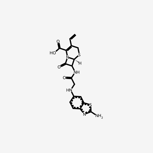 C=CC1=C(C(=O)O)N2C(=O)C(NC(=O)CNc3ccc4nc(N)sc4c3)[C@@H]2SC1